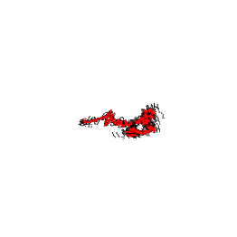 CP(O)(=S)OCCCCCCNC(=O)CCCCC(=O)N1Cc2ccccc2-c2c(nnn2CCOc2ccc(C(=O)Oc3ccc(CS[P@]4(=O)OC[C@H]5O[C@@H](n6cnc7c(N)ncnc76)[C@H](O)[C@@H]5O[P@](=O)(S)OC[C@H]5O[C@@H](n6cnc7c(N)ncnc76)[C@H](O4)[C@@H]5O)cc3)cc2)-c2ccccc21